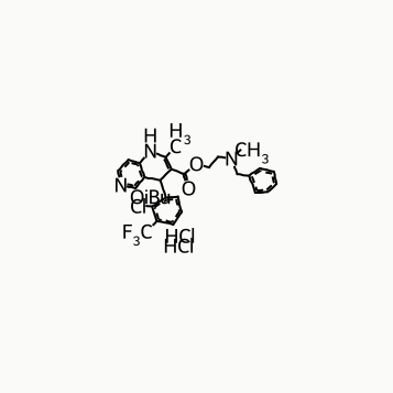 CC1=C(C(=O)OCCN(C)Cc2ccccc2)C(c2cccc(C(F)(F)F)c2Cl)c2c(ccnc2OCC(C)C)N1.Cl.Cl